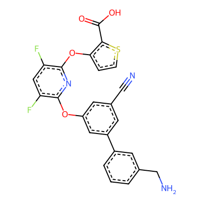 N#Cc1cc(Oc2nc(Oc3ccsc3C(=O)O)c(F)cc2F)cc(-c2cccc(CN)c2)c1